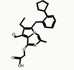 CCc1c(C=O)c2c(OCC(=O)O)nc(C)cn2c1Cc1ccccc1C1CCCC1